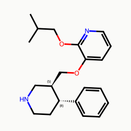 CC(C)COc1ncccc1OC[C@@H]1CNCC[C@H]1c1ccccc1